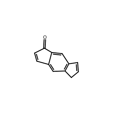 O=C1C=Cc2cc3c(cc21)C=CC3